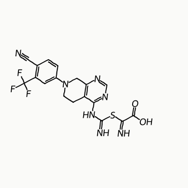 N#Cc1ccc(N2CCc3c(ncnc3NC(=N)SC(=N)C(=O)O)C2)cc1C(F)(F)F